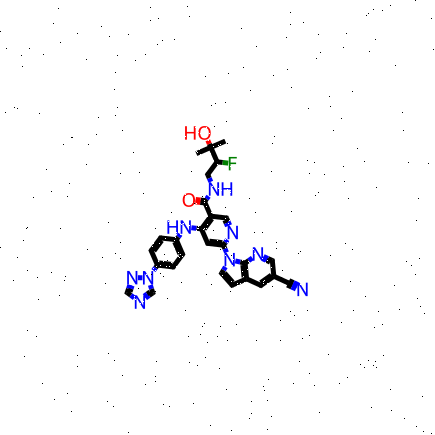 CC(C)(O)C(F)CNC(=O)c1cnc(-n2ccc3cc(C#N)cnc32)cc1Nc1ccc(-n2cncn2)cc1